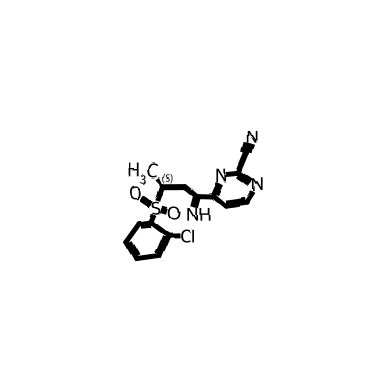 C[C@@H](CC(=N)c1ccnc(C#N)n1)S(=O)(=O)c1ccccc1Cl